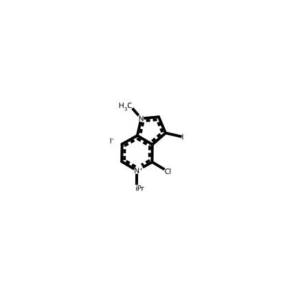 CC(C)[n+]1ccc2c(c(I)cn2C)c1Cl.[I-]